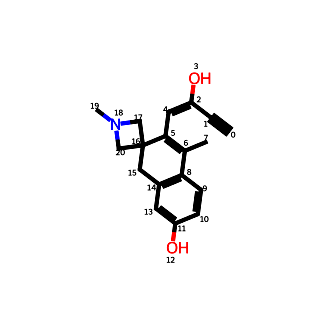 C#C/C(O)=C\C1=C(C)c2ccc(O)cc2CC12CN(C)C2